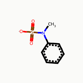 CN(c1ccccc1)S([O])(=O)=O